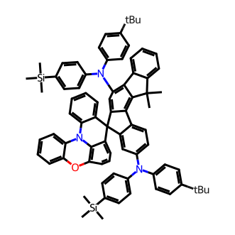 CC(C)(C)c1ccc(N(c2ccc([Si](C)(C)C)cc2)c2ccc3c(c2)C2(c4ccccc4N4c5ccccc5Oc5cccc2c54)c2cc(N(c4ccc(C(C)(C)C)cc4)c4ccc([Si](C)(C)C)cc4)c4c(c2-3)C(C)(C)c2ccccc2-4)cc1